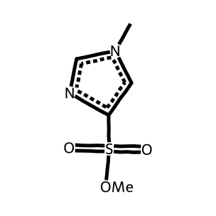 COS(=O)(=O)c1cn(C)cn1